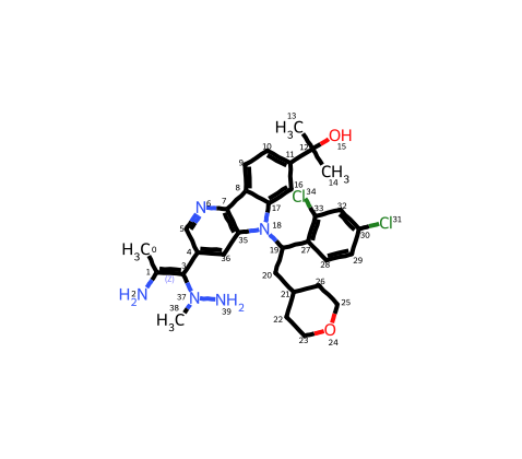 C/C(N)=C(\c1cnc2c3ccc(C(C)(C)O)cc3n(C(CC3CCOCC3)c3ccc(Cl)cc3Cl)c2c1)N(C)N